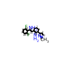 Cn1ccc(C2CCCC(/C=C(\N)c3c(F)cccc3F)=C2N)n1